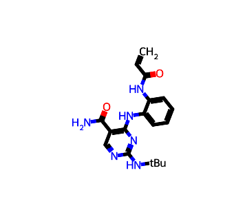 C=CC(=O)Nc1ccccc1Nc1nc(NC(C)(C)C)ncc1C(N)=O